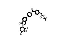 CC(C)(C)OC(=O)Cc1ccc(C(=O)N2CCN(c3ccc4c(c3)CN(C3CCC(=O)NC3=O)C4=O)CC2)cc1